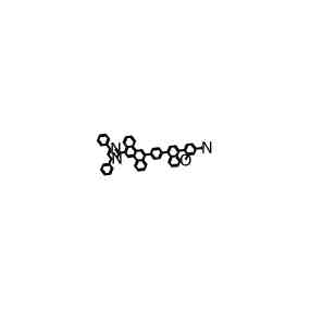 N#Cc1ccc2c(c1)Oc1cccc3c(-c4ccc(-c5cc6c7ccccc7c(-c7nc(-c8ccccc8)cc(-c8ccccc8)n7)cc6c6ccccc56)cc4)ccc-2c13